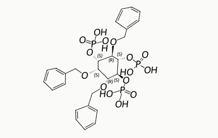 O=P(O)(O)O[C@@H]1[C@@H](OCc2ccccc2)[C@H](OP(=O)(O)O)[C@@H](OP(=O)(O)O)[C@H](OCc2ccccc2)[C@@H]1OCc1ccccc1